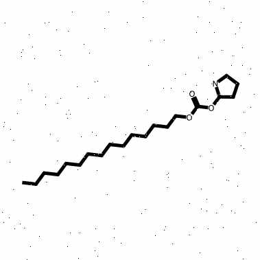 CCCCCCCCCCCCCCCOC(=O)OC1CCC[N]1